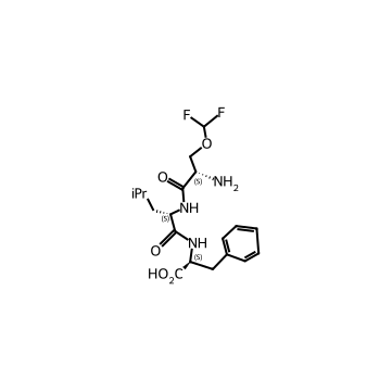 CC(C)C[C@H](NC(=O)[C@@H](N)COC(F)F)C(=O)N[C@@H](Cc1ccccc1)C(=O)O